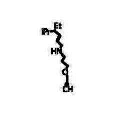 C#CCOCCCNC/C=C/C(CC)C(C)C